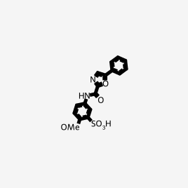 COc1ccc(NC(=O)c2ncc(-c3ccccc3)o2)cc1S(=O)(=O)O